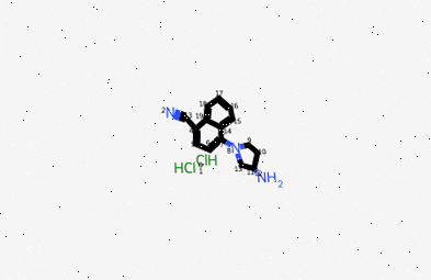 Cl.Cl.N#Cc1ccc(N2CCC(N)C2)c2ccccc12